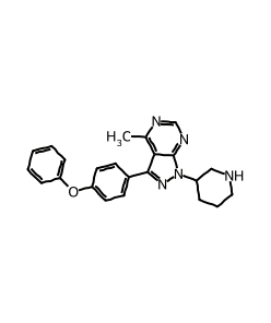 Cc1ncnc2c1c(-c1ccc(Oc3ccccc3)cc1)nn2C1CCCNC1